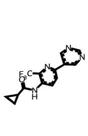 O=C(Nc1ccc(-c2cncnc2)nc1C(F)(F)F)C1CC1